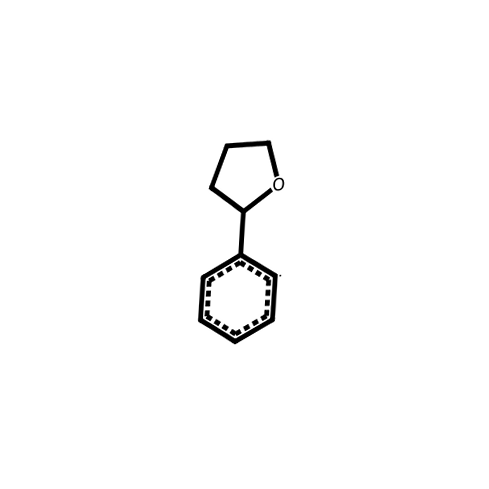 [c]1ccccc1C1CCCO1